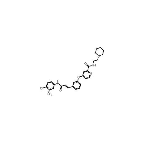 O=C(C=Cc1cccc(Oc2ccnc(C(=O)NCCN3CCCCC3)c2)c1)Nc1ccc(Cl)c(C(F)(F)F)c1